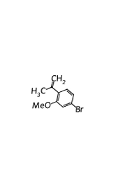 C=C(C)c1ccc(Br)cc1OC